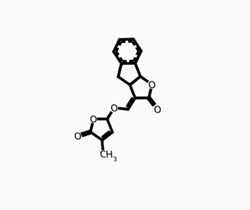 CC1=CC(OC=C2C(=O)OC3c4ccccc4CC23)OC1=O